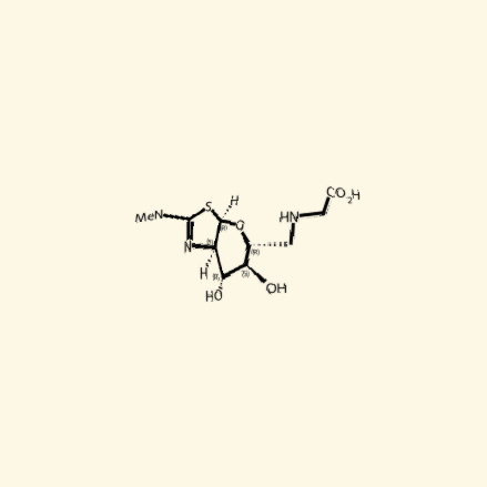 CNC1=N[C@@H]2[C@@H](O)[C@H](O)[C@@H](CNCC(=O)O)O[C@@H]2S1